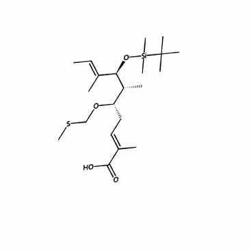 C/C=C(\C)[C@@H](O[Si](C)(C)C(C)(C)C)[C@H](C)[C@H](C/C=C(\C)C(=O)O)OCSC